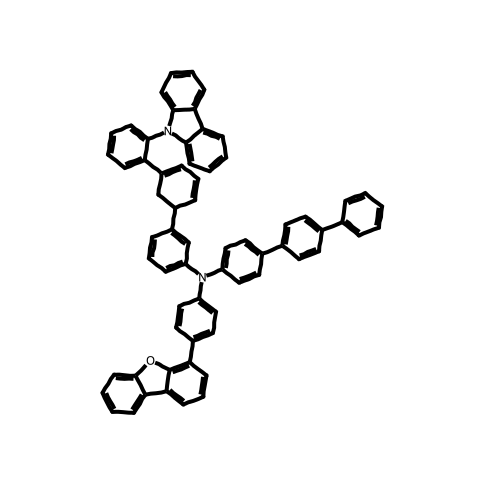 C1=CC(c2cccc(N(c3ccc(-c4ccc(-c5ccccc5)cc4)cc3)c3ccc(-c4cccc5c4oc4ccccc45)cc3)c2)CC(c2ccccc2-n2c3ccccc3c3ccccc32)=C1